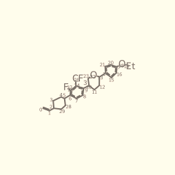 C=CC1CCC(c2ccc(C3CCC(c4ccc(OCC)cc4)OC3)c(C(F)(F)F)c2F)CC1